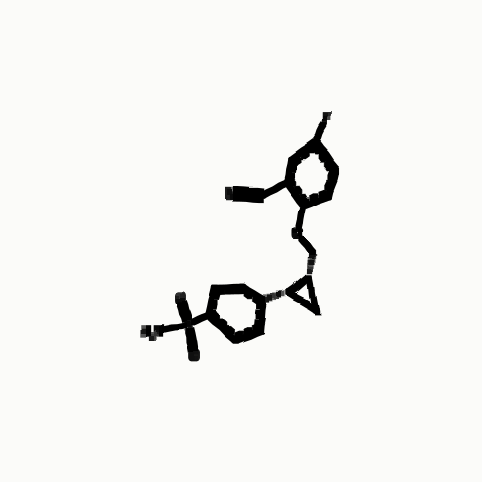 N#Cc1cc(F)ccc1OC[C@@H]1C[C@@H]1c1ccc(S(N)(=O)=O)cc1